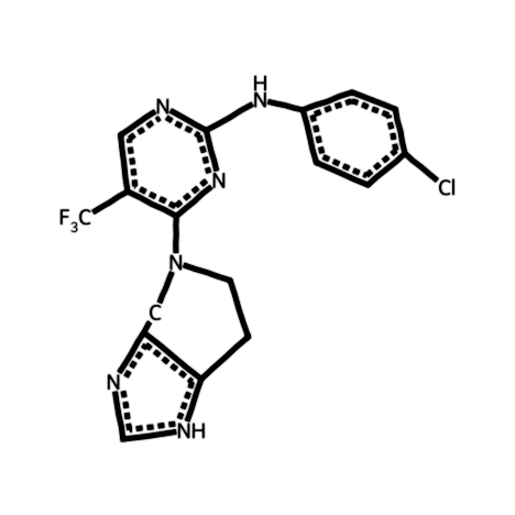 FC(F)(F)c1cnc(Nc2ccc(Cl)cc2)nc1N1CCc2[nH]cnc2C1